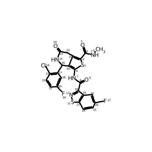 CNC(=O)c1sc(NC(=O)c2nsc3ccc(F)cc23)c2c1CC(=O)NC2c1cc(F)ccc1Cl